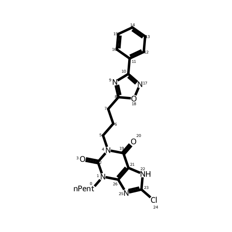 CCCCCn1c(=O)n(CCCc2nc(-c3ccccc3)no2)c(=O)c2[nH]c(Cl)nc21